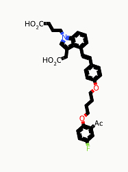 CC(=O)c1cc(F)ccc1OCCCCOc1ccc(C=Cc2cccc3c2c(CC(=O)O)cn3CCCC(=O)O)cc1